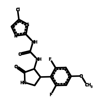 COc1cc(F)c(C2CNC(=O)C2NC(=O)Nc2ncc(Cl)s2)c(F)c1